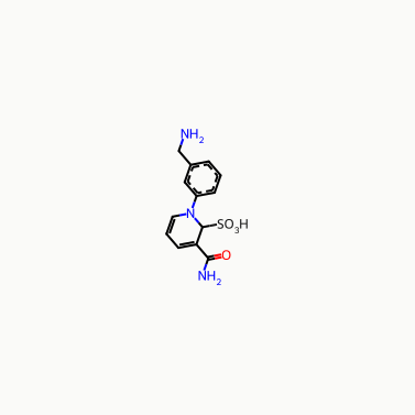 NCc1cccc(N2C=CC=C(C(N)=O)C2S(=O)(=O)O)c1